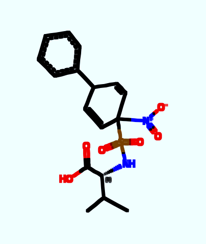 CC(C)[C@@H](NS(=O)(=O)C1([N+](=O)[O-])C=CC(c2ccccc2)C=C1)C(=O)O